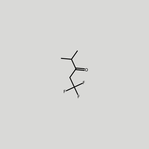 CC(C)C(=O)CC(F)(F)F